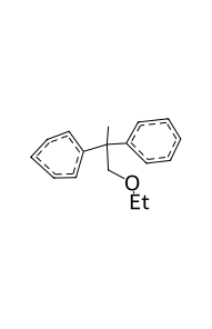 CCOCC(C)(c1ccccc1)c1ccccc1